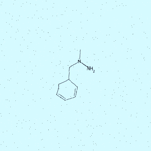 CN(N)CC1C=CC=CC1